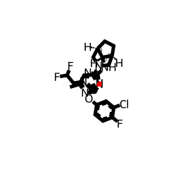 Cc1cc(N2C[C@H]3CC[C@@H](C2)[C@@H]3Nc2nc(Oc3ccc(F)c(Cl)c3)n(CC(F)F)n2)ncn1